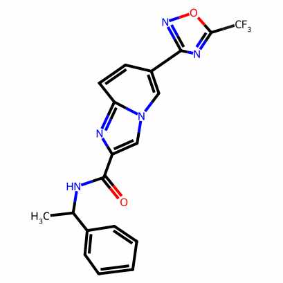 CC(NC(=O)c1cn2cc(-c3noc(C(F)(F)F)n3)ccc2n1)c1ccccc1